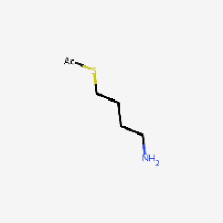 CC(=O)SCC[CH]CN